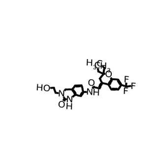 CCC1(CC)C/C(=C\C(=O)Nc2ccc3c(c2)NC(=O)N(CCO)C3)c2ccc(C(F)(F)F)cc2O1